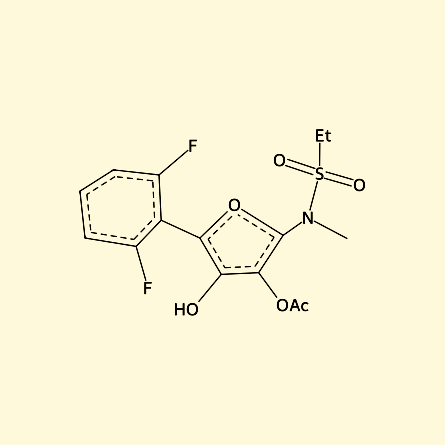 CCS(=O)(=O)N(C)c1oc(-c2c(F)cccc2F)c(O)c1OC(C)=O